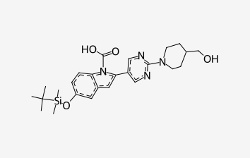 CC(C)(C)[Si](C)(C)Oc1ccc2c(c1)cc(-c1cnc(N3CCC(CO)CC3)nc1)n2C(=O)O